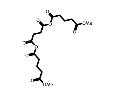 COC(=O)CCCC(=O)OC(=O)CCC(=O)OC(=O)CCCC(=O)OC